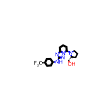 OC[C@H]1CCCN1c1cccc2nc(Nc3ccc(C(F)(F)F)cc3)nn12